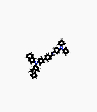 CC1(C)c2ccccc2-c2ccc(N(c3ccc(-c4ccc(/C=C/c5ccc(N(c6ccccc6)c6ccccc6)cc5)cc4)cc3)c3ccc4ccccc4c3)cc21